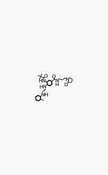 Cc1ccccc1NCCNc1ccc(C(=O)NCCCN2CCCC2=O)cc1NC(=O)C(C)(C)C